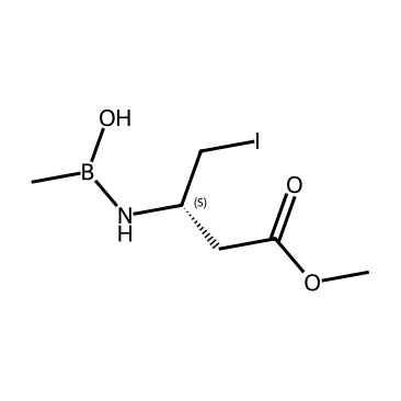 COC(=O)C[C@@H](CI)NB(C)O